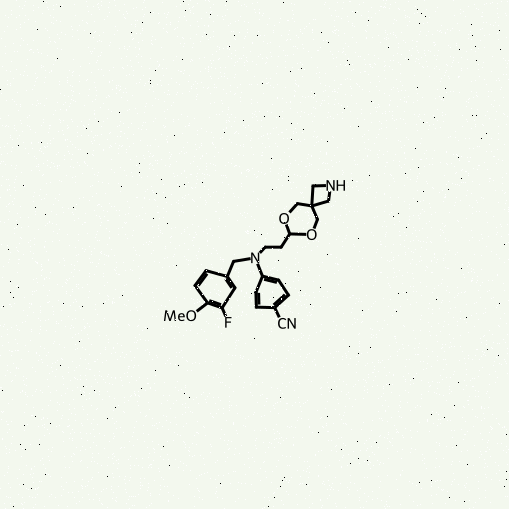 COc1ccc(CN(CCC2OCC3(CNC3)CO2)c2ccc(C#N)cc2)cc1F